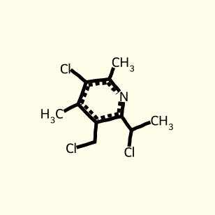 Cc1nc(C(C)Cl)c(CCl)c(C)c1Cl